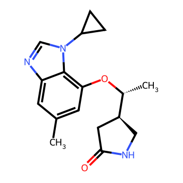 Cc1cc(O[C@H](C)[C@H]2CNC(=O)C2)c2c(c1)ncn2C1CC1